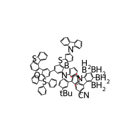 Bc1c(B)c(B)c2c(c1B)c1cc(C#N)ccc1n2-c1ccc2c(c1)N(c1ccc(C(C)(C)C)cc1-c1ccccc1)c1cc(-c3cc(S(c4ccccc4)(c4ccccc4)c4ccccc4)c4oc5ccc6sc7ccccc7c6c5c4c3)cc3c1B2c1ccc(-n2c4ccccc4c4ccccc42)cc1S3